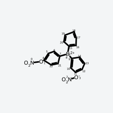 O=[N+]([O-])[O-].O=[N+]([O-])[O-].c1cc[c]([Bi+2]([c]2ccccc2)[c]2ccccc2)cc1